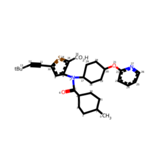 CC1CCC(C(=O)N(c2cc(C#CC(C)(C)C)sc2C(=O)O)C2CCC(Oc3ccccn3)CC2)CC1